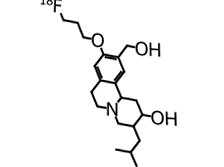 CC(C)CC1CN2CCc3cc(OCCC[18F])c(CO)cc3C2CC1O